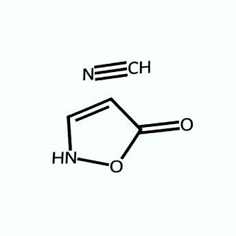 C#N.O=c1cc[nH]o1